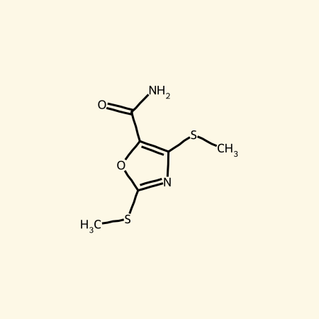 CSc1nc(SC)c(C(N)=O)o1